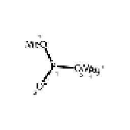 COP([O-])OC.[Ag+]